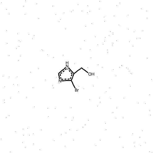 OCc1[nH]cnc1Br